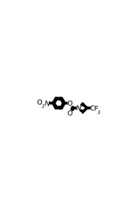 O=C(Oc1ccc([N+](=O)[O-])cc1)N1CC(C(F)(F)F)C1